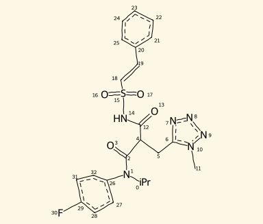 CC(C)N(C(=O)C(Cc1nnnn1C)C(=O)NS(=O)(=O)C=Cc1ccccc1)c1ccc(F)cc1